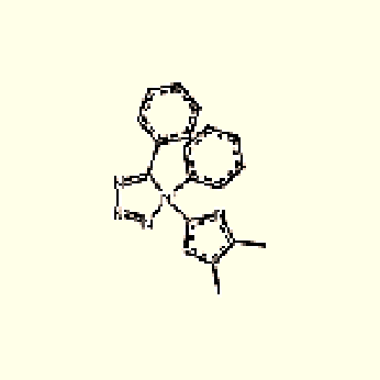 Cc1nc([N+]2(c3ccccc3)N=NN=C2c2ccccc2)sc1C